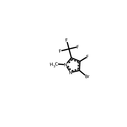 Cn1nc(Br)c(F)c1C(F)(F)F